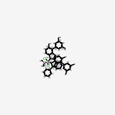 Cc1cc(C)cc(-c2c(C)ccc3c2C=C(c2ccccc2)[CH]3[Zr]([Cl])([Cl])([CH]2C(c3ccccc3)=Cc3c2ccc(C)c3-c2cc(C)cc(C)c2)[SiH](C)C)c1